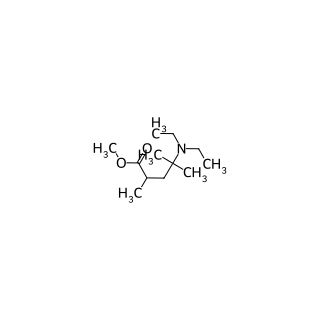 CCN(CC)C(C)(C)CC(C)C(=O)OC